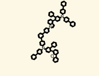 c1ccc(-c2ccc(N(c3ccc(-c4ccccc4)cc3)c3ccc(-c4cccc5c4ccn5-c4ccc(-c5cccc(-c6ccc(N(c7ccc(-c8ccccc8)cc7)c7ccc(-c8cccc9c8oc8ccccc89)c(-c8ccccc8)c7)cc6)c5)cc4)c(-c4ccccc4)c3)cc2)cc1